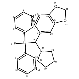 FC(c1cccnc1)(c1cccnc1)C(c1ccc2c(c1)OCO2)N1CCCC1